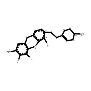 CCCc1cc2c(c(F)c1F)Oc1c(ccc(CCC3=CCC(CCC)CC3)c1F)C2